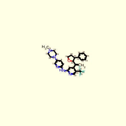 C=C(c1cc(Nc2ccc(N3CCN(C)CC3)cn2)ncc1C(F)(F)F)C1OCCC1c1ccccc1